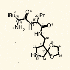 CC[C@H](C)[C@H](N)C(=O)N[C@H](C(=O)NCC1CNCC12OCCO2)C(C)C